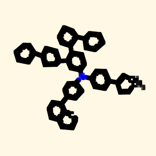 C/C=C\C(=C/C)c1ccc(N(c2ccc(-c3cccc4ccccc34)cc2)c2ccc(-c3ccccc3-c3ccccc3)c(-c3ccc(-c4ccccc4)cc3)c2)cc1